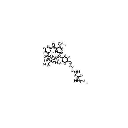 CNC(=O)CNCCCOc1ccc(Nc2ncc(C)c(Nc3cccc(S(=O)(=O)NC(C)(C)C)c3)n2)cc1